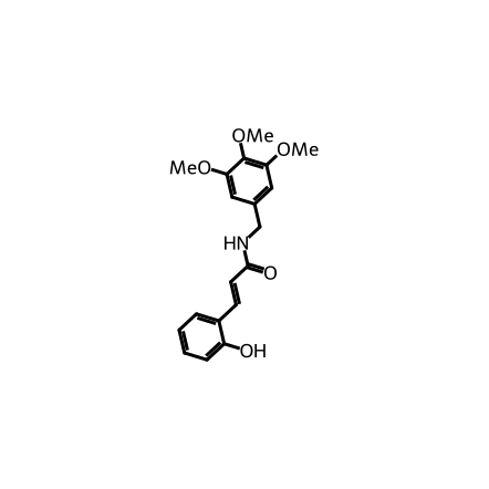 COc1cc(CNC(=O)/C=C/c2ccccc2O)cc(OC)c1OC